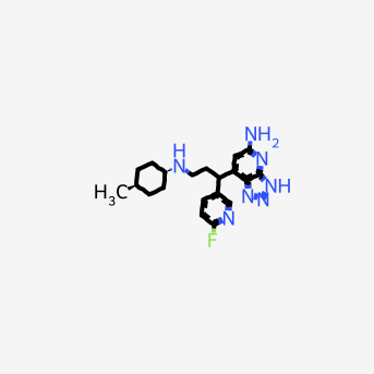 C[C@H]1CC[C@H](NCCC(c2ccc(F)nc2)c2cc(N)nc3[nH]nnc23)CC1